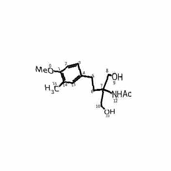 COc1ccc(CCC(CO)(CO)NC(C)=O)cc1C